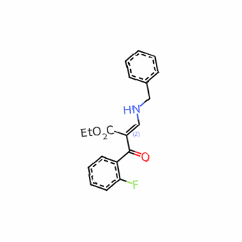 CCOC(=O)/C(=C\NCc1ccccc1)C(=O)c1ccccc1F